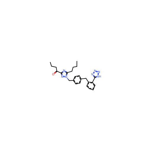 CCCCc1nc(C(=O)CCC)nn1Cc1ccc(Cc2ccccc2-c2nnn[nH]2)cc1